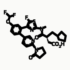 CN(C(=O)[C@@H](CC(=O)O)CC1CCCC1)c1nc(-c2cc(OC(F)F)ccc2-c2ccc(N3CCCC3=O)nc2)c(F)s1